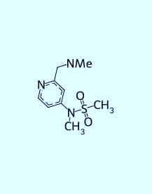 CNCc1cc(N(C)S(C)(=O)=O)ccn1